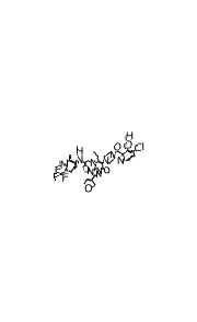 CCc1c(N2CCN(C(=O)c3nccc(Cl)c3O)CC2)c(=O)n2nc(C3=CCOCC3)nc2n1CC(=O)Nc1ccc(C(F)(F)F)nc1C